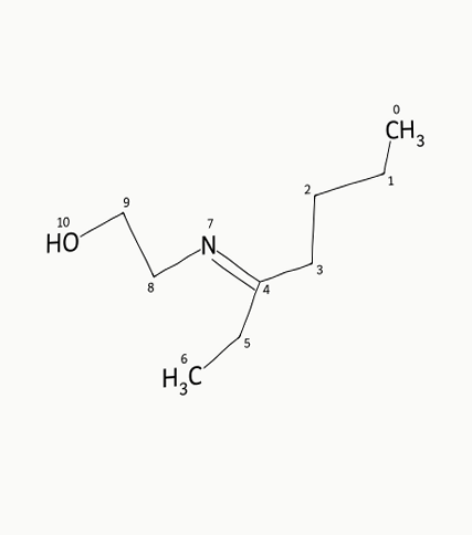 CCCCC(CC)=NCCO